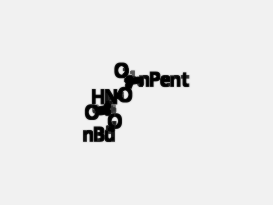 CCCCCC(=O)ONC(=O)OCCCC